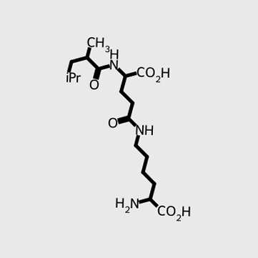 CC(C)CC(C)C(=O)NC(CCC(=O)NCCCCC(N)C(=O)O)C(=O)O